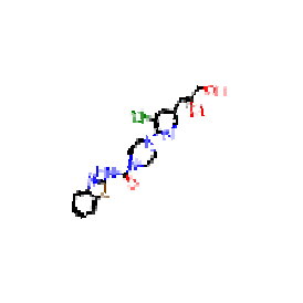 O=C(Nc1nc2ccccc2s1)N1CCN(c2ncc(C[C@H](O)CO)cc2Cl)CC1